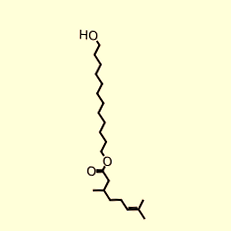 CC(C)=CCCC(C)CC(=O)OCCCCCCCCCCCCO